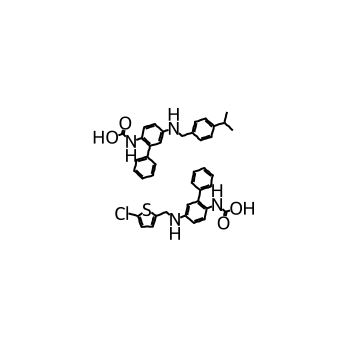 CC(C)c1ccc(CNc2ccc(NC(=O)O)c(-c3ccccc3)c2)cc1.O=C(O)Nc1ccc(NCc2ccc(Cl)s2)cc1-c1ccccc1